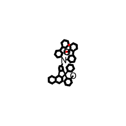 c1ccc2c(c1)Oc1ccccc1C21c2cc(N(c3cccc4c3oc3ccccc34)c3cccc4c3oc3ccccc34)ccc2-c2c1ccc1ccccc21